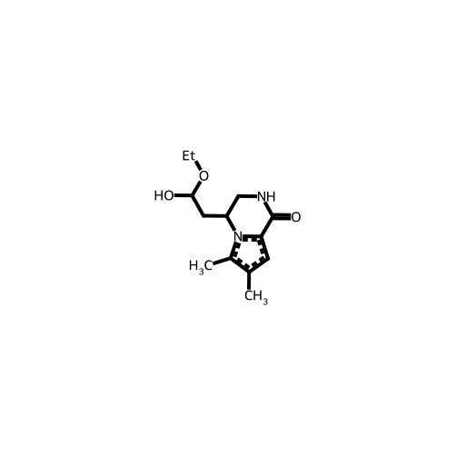 CCOC(O)CC1CNC(=O)c2cc(C)c(C)n21